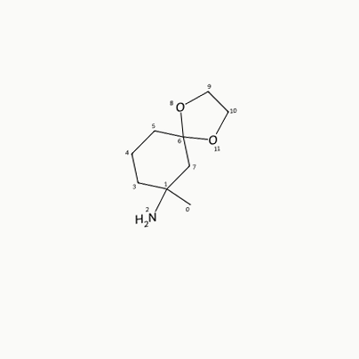 CC1(N)CCCC2(C1)OCCO2